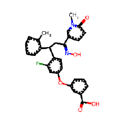 Cc1ccccc1C(CC(=NO)c1ccc(=O)n(C)c1)c1ccc(Oc2cccc(C(=O)O)c2)cc1F